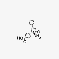 Nn1c(-c2ccc(C(=O)O)cc2)cc(-c2ccccc2)cc1=O